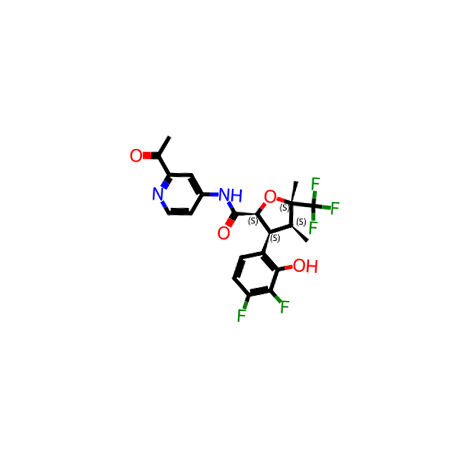 CC(=O)c1cc(NC(=O)[C@H]2O[C@](C)(C(F)(F)F)[C@@H](C)[C@H]2c2ccc(F)c(F)c2O)ccn1